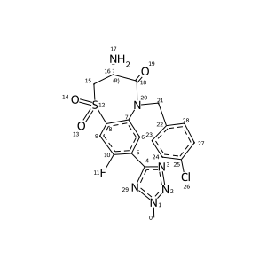 Cn1nnc(-c2cc3c(cc2F)S(=O)(=O)C[C@H](N)C(=O)N3Cc2ccc(Cl)cc2)n1